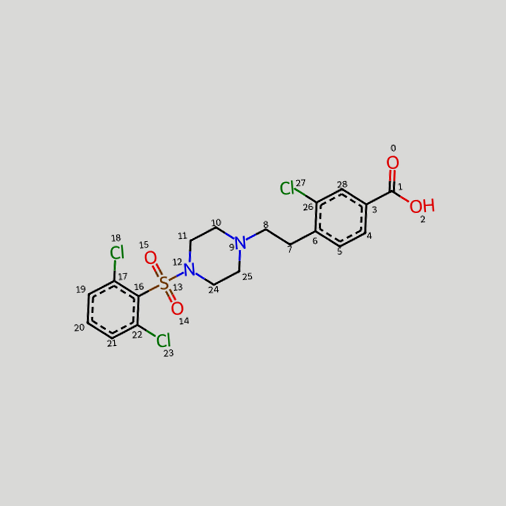 O=C(O)c1ccc(CCN2CCN(S(=O)(=O)c3c(Cl)cccc3Cl)CC2)c(Cl)c1